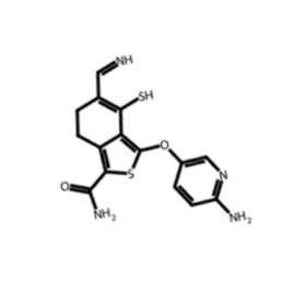 N=CC1=C(S)c2c(Oc3ccc(N)nc3)sc(C(N)=O)c2CC1